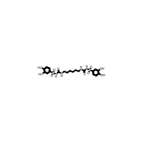 O=C(NCCCCCCNC(=O)NS(=O)(=O)c1ccc(O)c(O)c1)NS(=O)(=O)c1ccc(O)c(O)c1